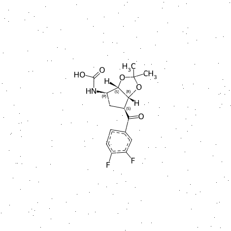 CC1(C)O[C@@H]2[C@H](O1)[C@@H](C(=O)c1ccc(F)c(F)c1)C[C@H]2NC(=O)O